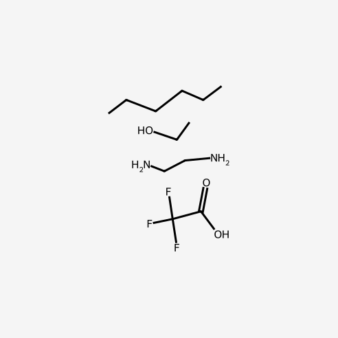 CCCCCC.CCO.NCCN.O=C(O)C(F)(F)F